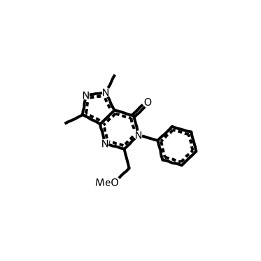 COCc1nc2c(C)nn(C)c2c(=O)n1-c1ccccc1